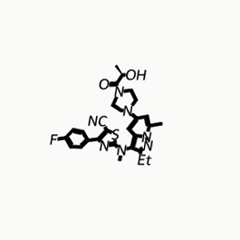 CCc1nn2c(C)cc(N3CCN(C(=O)[C@@H](C)O)CC3)cc2c1N(C)c1nc(-c2ccc(F)cc2)c(C#N)s1